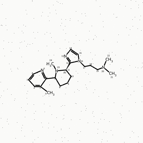 Cc1cccnc1C1CCC[C@H](c2nccn2CCCN(C)C)N1C